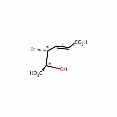 CC[C@H](/C=C/C(=O)O)[C@@H](O)C(=O)O